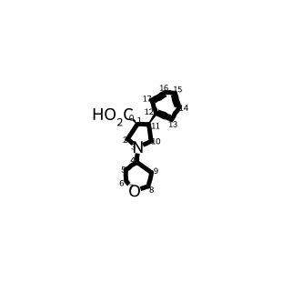 O=C(O)[C@H]1CN(C2CCOCC2)C[C@@H]1c1ccccc1